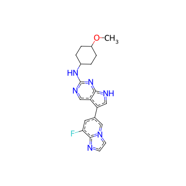 COC1CCC(Nc2ncc3c(-c4cc(F)c5nccn5c4)c[nH]c3n2)CC1